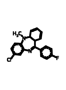 CN1c2ccc(Cl)cc2N=C(c2ccc(F)cc2)C2C=CC=CC21